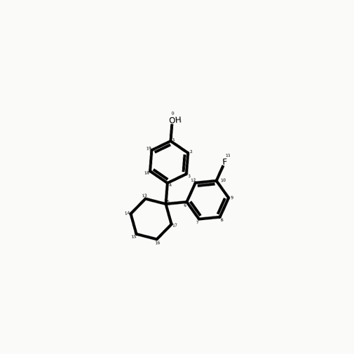 Oc1ccc(C2(c3cccc(F)c3)CCCCC2)cc1